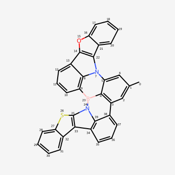 Cc1cc2c3c(c1)-n1c4c(cccc4c4oc5ccccc5c41)B3n1c3sc4ccccc4c3c3cccc-2c31